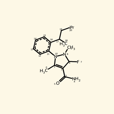 CC1=C(C(N)=O)C(F)N(C)N1c1ccccc1C(C)CC(C)C